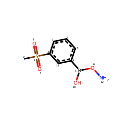 CS(=O)(=O)c1cccc(B(O)ON)c1